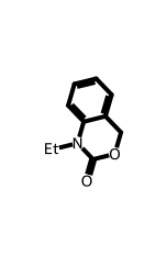 CCN1C(=O)OCc2ccccc21